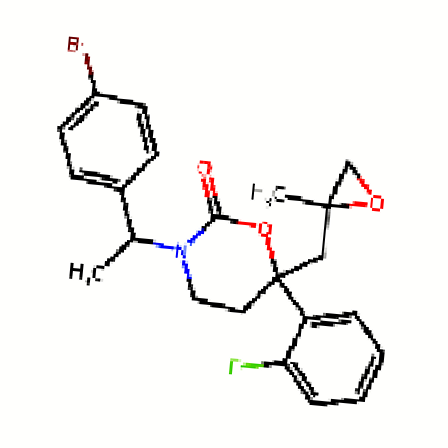 CC(c1ccc(Br)cc1)N1CCC(CC2(C)CO2)(c2ccccc2F)OC1=O